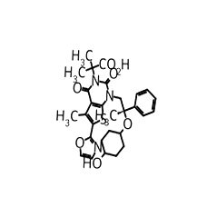 Cc1c(-c2ncco2)sc2c1c(=O)n(C(C)(C)C(=O)O)c(=O)n2C[C@@](C)(OC1CCC(O)CC1)c1ccccc1